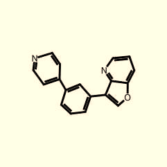 c1cc(-c2ccncc2)cc(-c2coc3cccnc23)c1